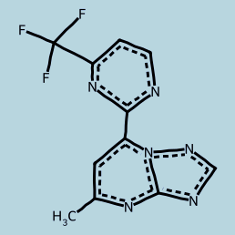 Cc1cc(-c2nccc(C(F)(F)F)n2)n2ncnc2n1